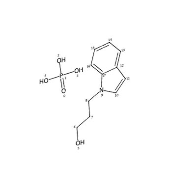 O=P(O)(O)O.OCCCn1ccc2ccccc21